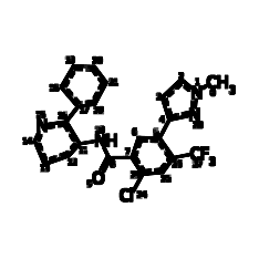 Cn1ccc(-c2cc(C(=O)Nc3cccnc3-c3ccccc3)c(Cl)cc2C(F)(F)F)n1